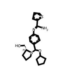 NC(=Nc1ccc(C(OC2CCCC2)N2CCC[C@@H]2CO)cc1)c1cccs1